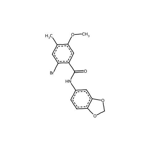 COc1cc(C(=O)Nc2ccc3c(c2)OCO3)c(Br)cc1C